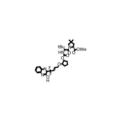 COC(=O)[C@@H]1CC(C)(C)CN1C(=O)[C@@H](NC(=O)O[C@@H]1CCC[C@H]1OC/C=C/C(F)(F)c1nc2ccccc2nc1O)C(C)(C)C